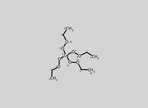 CCO[O][Ge]([O]OCC)([O]OCC)[O]OCC